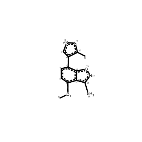 COc1ccc(-c2c[nH]nc2C)c2onc(N)c12